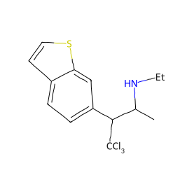 CCNC(C)C(c1ccc2ccsc2c1)C(Cl)(Cl)Cl